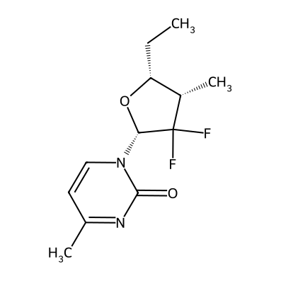 CC[C@H]1O[C@@H](n2ccc(C)nc2=O)C(F)(F)[C@H]1C